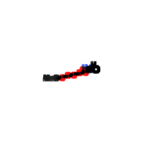 COCCOCCOCCOCCOCC(=O)Oc1ccc2c(c1)[C@@]1(C)CCCCC[C@@H](C2)[C@@H]1N